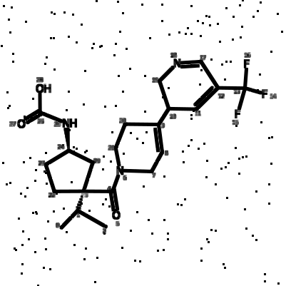 CC(C)[C@]1(C(=O)N2CC=C(C3C=C(C(F)(F)F)C=NC3)CC2)CC[C@@H](NC(=O)O)C1